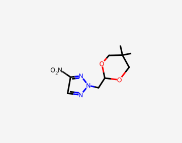 CC1(C)COC(Cn2ncc([N+](=O)[O-])n2)OC1